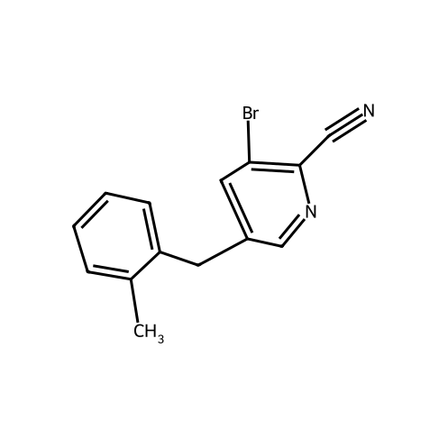 Cc1ccccc1Cc1cnc(C#N)c(Br)c1